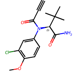 C#CC(=O)N(c1ccc(OC)c(Cl)c1)[C@H](C(N)=O)C(C)(C)C